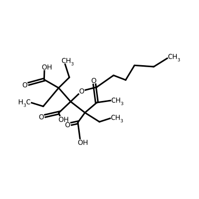 CCCCCCOC(C(=O)O)(C(CC)(CC)C(=O)O)C(CC)(C(C)=O)C(=O)O